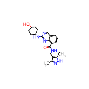 Cc1n[nH]c(C)c1CNC(=O)c1cccc2cnc(N[C@H]3CC[C@H](O)CC3)nc12